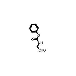 O=[C]CNC(=O)Oc1ccccc1